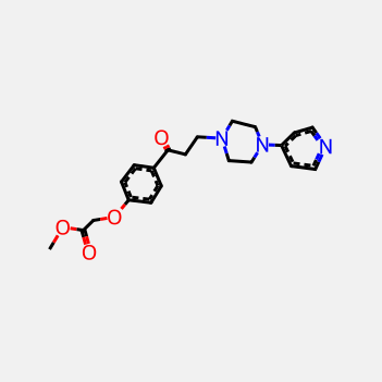 COC(=O)COc1ccc(C(=O)CCN2CCN(c3ccncc3)CC2)cc1